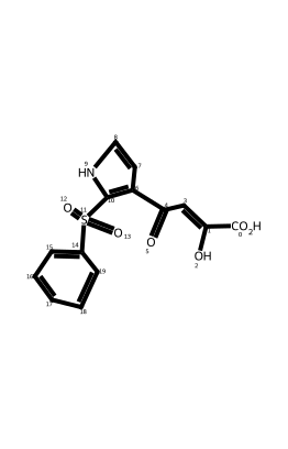 O=C(O)C(O)=CC(=O)c1cc[nH]c1S(=O)(=O)c1ccccc1